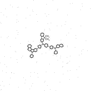 CC1(C)c2ccccc2-c2ccc(N(c3ccc(-c4ccc(N(c5ccccc5)c5ccc6ccccc6c5)cc4)cc3)c3ccc(-c4ccc5c(c4)c4c6ccccc6ccc4n5-c4ccccc4)cc3)cc21